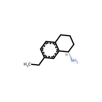 CCc1ccc2c(c1)[C@@H](N)CCC2